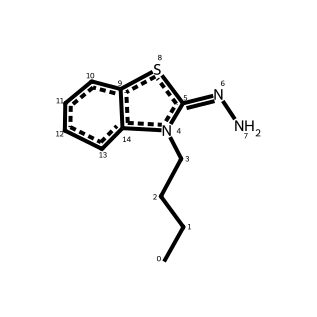 CCCCn1c(=NN)sc2ccccc21